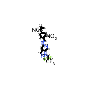 N#CC1(c2ccc(/C=N/c3cc4cnn(CC(F)(F)C(F)(F)F)c4cn3)c([N+](=O)[O-])c2)CC1